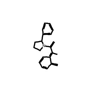 C=C(/C(C)=c1\ccccc1=C)N1CCCC1c1ccccc1